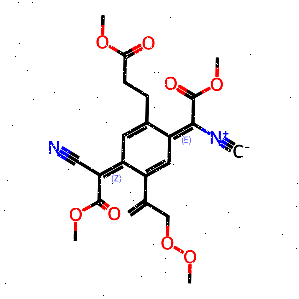 [C-]#[N+]/C(C(=O)OC)=c1\cc(C(=C)COOC)/c(=C(/C#N)C(=O)OC)cc1CCC(=O)OC